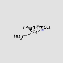 CCCCCCCC/C=C\CCCCCCCCCCCC(=O)O.CCCCCNCN(C)CCC